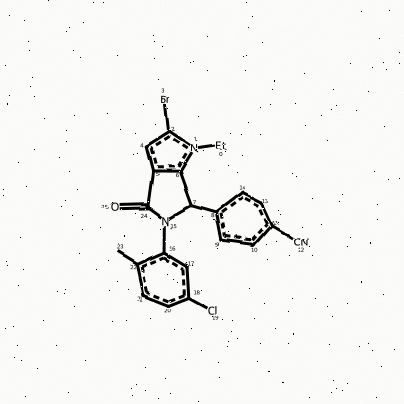 CCn1c(Br)cc2c1C(c1ccc(C#N)cc1)N(c1cc(Cl)ccc1C)C2=O